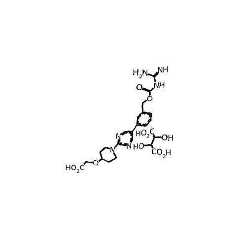 N=C(N)NC(=O)OCc1cccc(-c2cnc(N3CCC(OCC(=O)O)CC3)nc2)c1.O=C(O)C(O)C(O)C(=O)O